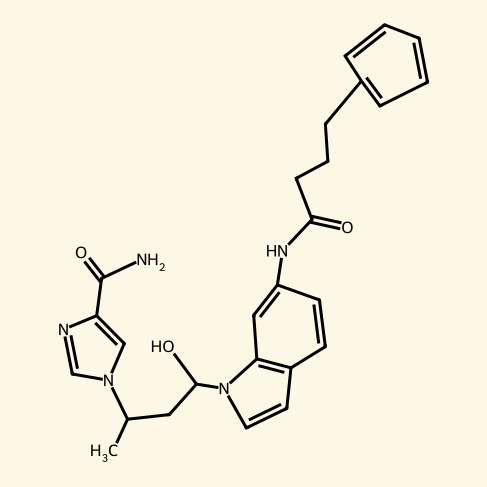 CC(CC(O)n1ccc2ccc(NC(=O)CCCc3ccccc3)cc21)n1cnc(C(N)=O)c1